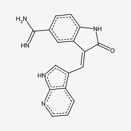 N=C(N)c1ccc2c(c1)/C(=C\c1c[nH]c3ncccc13)C(=O)N2